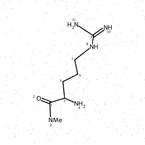 CNC(=O)C(N)CCCNC(=N)N